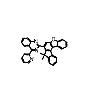 CC1(C)c2ccccc2-c2c1c(-c1nc(-c3ccccn3)c3ccccc3n1)cc1oc3ccccc3c21